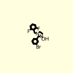 ON1CCN(Cc2c(F)cccc2F)C1c1cccc(Br)c1